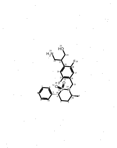 C[C@H]1CC[C@H](c2ccccc2)S(=O)(=O)N1Cc1cc(F)c(C(CN)CO)cc1F